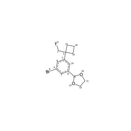 FCC1(c2cc(Br)cc(C3OCCO3)c2)CCC1